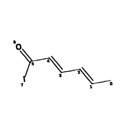 CC=CC=CC(=O)I